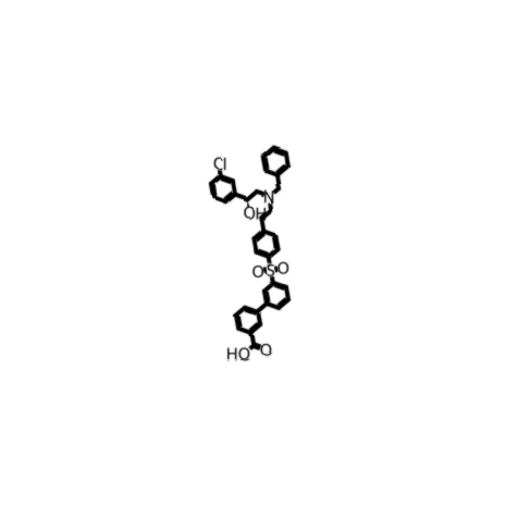 O=C(O)c1cccc(-c2cccc(S(=O)(=O)c3ccc(CCN(Cc4ccccc4)C[C@H](O)c4cccc(Cl)c4)cc3)c2)c1